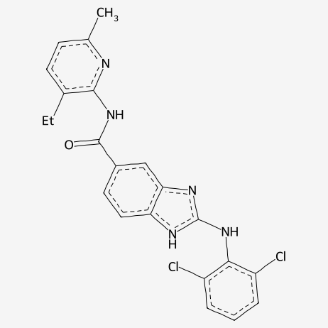 CCc1ccc(C)nc1NC(=O)c1ccc2[nH]c(Nc3c(Cl)cccc3Cl)nc2c1